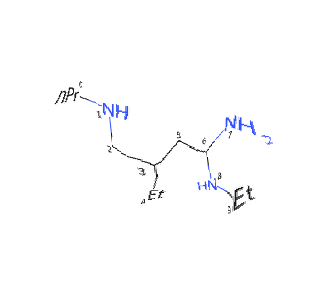 CCCNCC(CC)CC(N)NCC